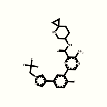 Nc1ncc(-c2cc(-c3cnn(CC(F)(F)F)c3)ccc2F)nc1C(=O)NC1CCC2(CC2)NC1